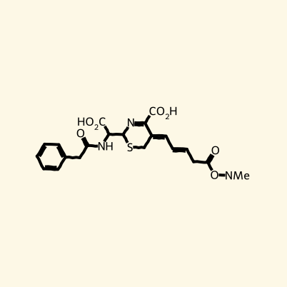 CNOC(=O)C/C=C/C=C1\CSC(C(NC(=O)Cc2ccccc2)C(=O)O)N=C1C(=O)O